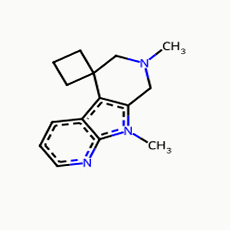 CN1Cc2c(c3cccnc3n2C)C2(CCC2)C1